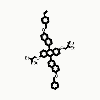 C=Cc1ccc(COc2ccc3cc(-c4c5ccc(OCC(CC)CCCC)cc5c(-c5ccc6cc(OCc7ccccc7)ccc6c5)c5ccc(OCC(CC)CCCC)cc45)ccc3c2)cc1